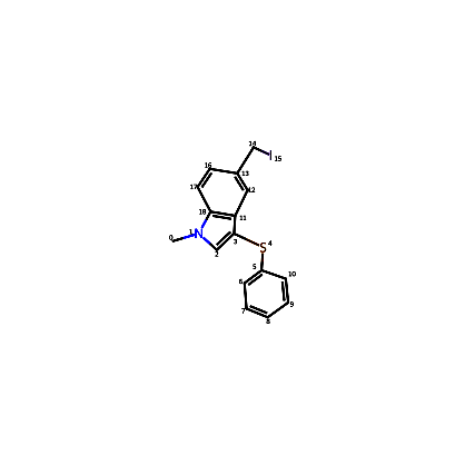 Cn1cc(Sc2ccccc2)c2cc(CI)ccc21